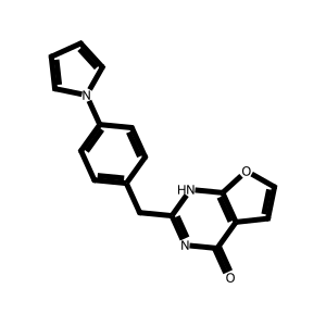 O=c1nc(Cc2ccc(-n3cccc3)cc2)[nH]c2occc12